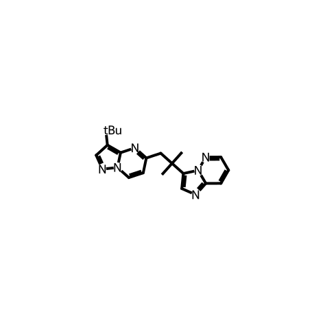 CC(C)(C)c1cnn2ccc(CC(C)(C)c3cnc4cccnn34)nc12